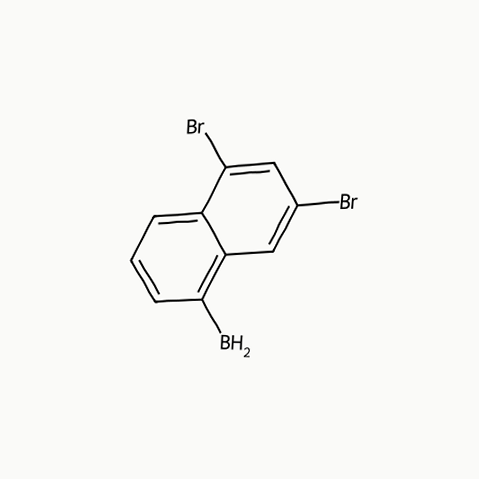 Bc1cccc2c(Br)cc(Br)cc12